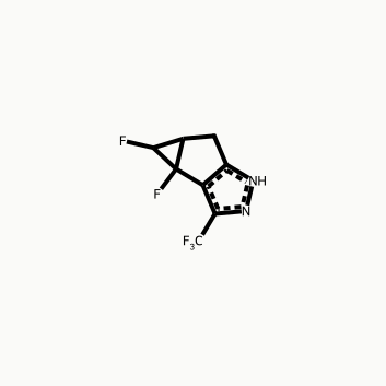 FC1C2Cc3[nH]nc(C(F)(F)F)c3C12F